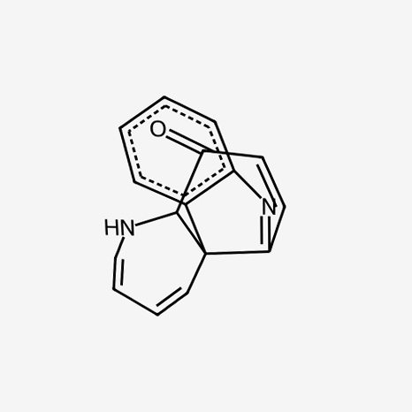 O=C1C=CC2=Nc3ccccc3C23C=CC=CNC13